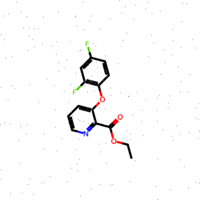 CCOC(=O)c1ncccc1Oc1ccc(F)cc1F